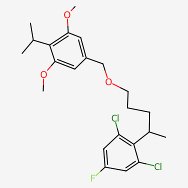 COc1cc(COCCCC(C)c2c(Cl)cc(F)cc2Cl)cc(OC)c1C(C)C